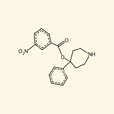 O=C(OC1(c2ccccc2)CCNCC1)c1cccc([N+](=O)[O-])c1